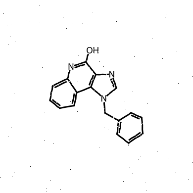 Oc1nc2ccccc2c2c1ncn2Cc1c[c]ccc1